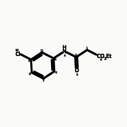 CCOC(=O)CC(=O)Nc1cccc(Cl)c1